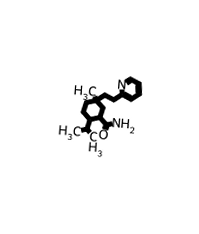 CC(C)C1CCC(C)(CCc2ccccn2)CC1C(N)=O